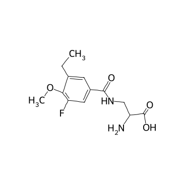 CCc1cc(C(=O)NCC(N)C(=O)O)cc(F)c1OC